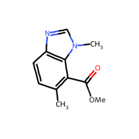 COC(=O)c1c(C)ccc2ncn(C)c12